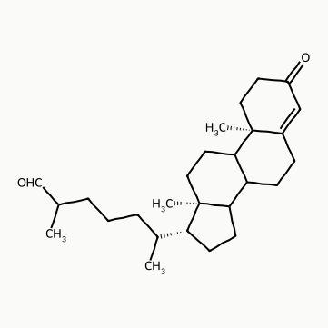 CC(C=O)CCCC(C)[C@H]1CCC2C3CCC4=CC(=O)CC[C@]4(C)C3CC[C@@]21C